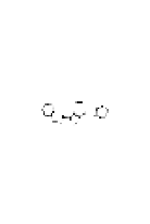 C[C@@H](NC(=O)c1n[nH]c2c1CCCCC2Cc1cccc(Cl)c1)c1ccccc1